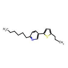 CCCCCCc1ccc(-c2ccc(CCC)s2)cn1